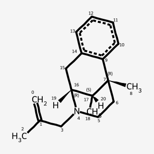 C=C(C)CN1CC[C@@]2(C)c3ccccc3C[C@@H]1[C@H]2C